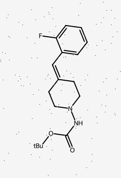 CC(C)(C)OC(=O)NN1CCC(=Cc2ccccc2F)CC1